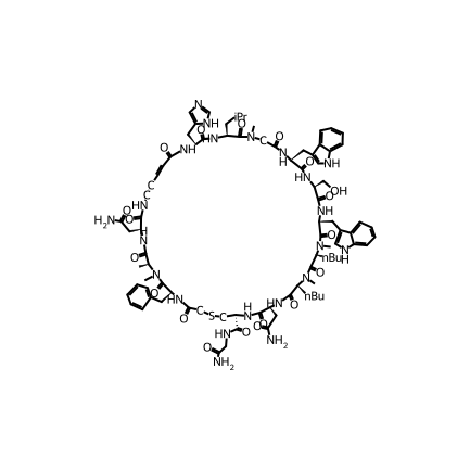 CCCC[C@H]1C(=O)N(C)[C@@H](CCCC)C(=O)N[C@@H](CC(N)=O)C(=O)N[C@H](C(=O)NCC(N)=O)CSCC(=O)N[C@@H](Cc2ccccc2)C(=O)N(C)[C@@H](C)C(=O)N[C@@H](CC(N)=O)C(=O)NCC/C=C/C(=O)N[C@@H](Cc2cnc[nH]2)C(=O)N[C@@H](CC(C)C)C(=O)N(C)CC(=O)N[C@@H](Cc2c[nH]c3ccccc23)C(=O)N[C@@H](CO)C(=O)N[C@@H](Cc2c[nH]c3ccccc23)C(=O)N1C